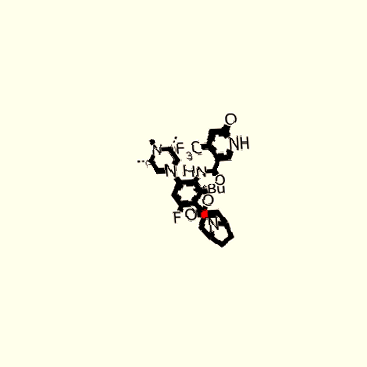 C[C@@H]1CN(c2cc(F)c(C3=CC4CCC(C3)N4C(=O)OC(C)(C)C)cc2NC(=O)c2c[nH]c(=O)cc2C(F)(F)F)C[C@H](C)N1C